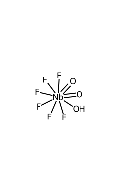 [O]=[Nb](=[O])([OH])([F])([F])([F])([F])([F])[F]